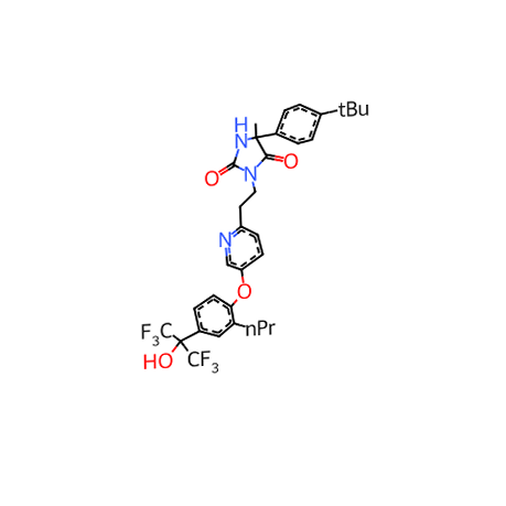 CCCc1cc(C(O)(C(F)(F)F)C(F)(F)F)ccc1Oc1ccc(CCN2C(=O)NC(C)(c3ccc(C(C)(C)C)cc3)C2=O)nc1